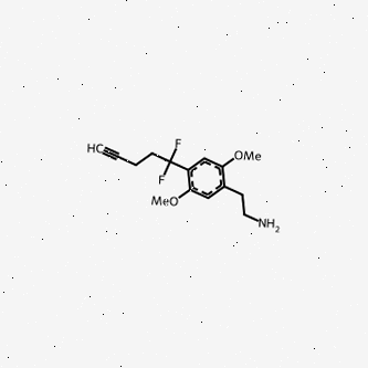 C#CCCC(F)(F)c1cc(OC)c(CCN)cc1OC